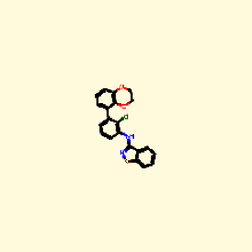 Clc1c(Nc2nsc3ccccc23)cccc1-c1cccc2c1OCCO2